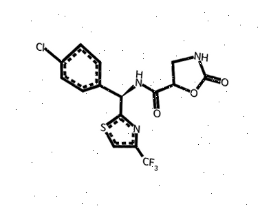 O=C1NCC(C(=O)N[C@H](c2ccc(Cl)cc2)c2nc(C(F)(F)F)cs2)O1